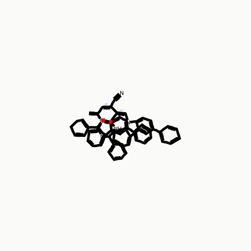 C=C(/C=C(C#N)\C(=C\n1c2ccccc2c2cc(-c3ccccc3)ccc21)C1=NC(C2=CCCC=C2)=NC(c2ccccc2)N1)n1c2ccccc2c2cc(-c3ccccc3)ccc21